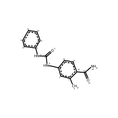 Cc1cc(NC(=O)Nc2ccccc2)ccc1C(N)=O